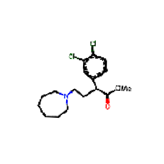 COC(=O)C(CCN1CCCCCC1)c1ccc(Cl)c(Cl)c1